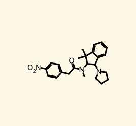 CN(C(=O)Cc1ccc([N+](=O)[O-])cc1)C1C(N2CCCC2)c2ccccc2C1(C)C